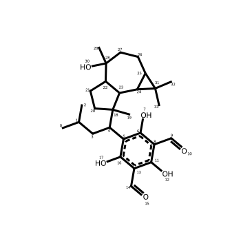 CC(C)CC(c1c(O)c(C=O)c(O)c(C=O)c1O)C1(C)CCC2C1C1C(CCC2(C)O)C1(C)C